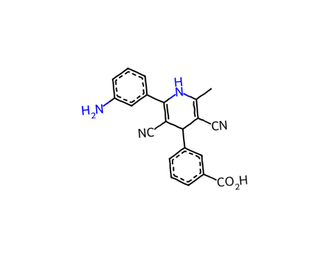 CC1=C(C#N)C(c2cccc(C(=O)O)c2)C(C#N)=C(c2cccc(N)c2)N1